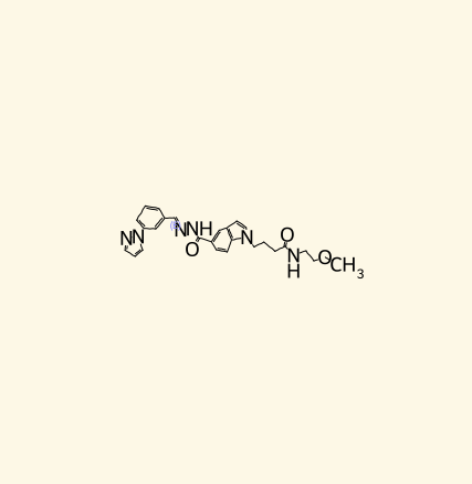 COCCNC(=O)CCCn1ccc2cc(C(=O)N/N=C/c3cccc(-n4cccn4)c3)ccc21